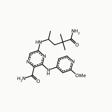 COc1cc(Nc2nc(NC(C)CC(C)(C)C(N)=O)cnc2C(N)=O)ccn1